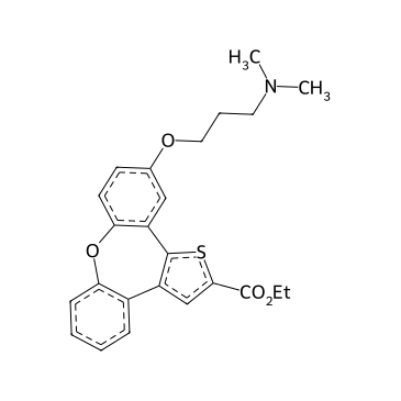 CCOC(=O)c1cc2c(s1)-c1cc(OCCCN(C)C)ccc1Oc1ccccc1-2